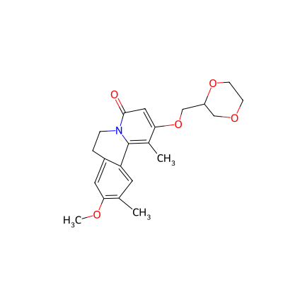 COc1cc2c(cc1C)-c1c(C)c(OCC3COCCO3)cc(=O)n1CC2